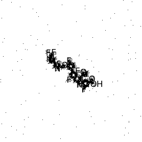 O=C(O)c1cc(F)c2nc(Cc3cc(F)c(-c4ccc(F)c(OCc5ncc(-c6cnn(C(F)F)c6)s5)c4)cc3F)n(C[C@@H]3CCO3)c2c1